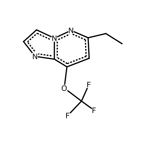 CCc1cc(OC(F)(F)F)c2nccn2n1